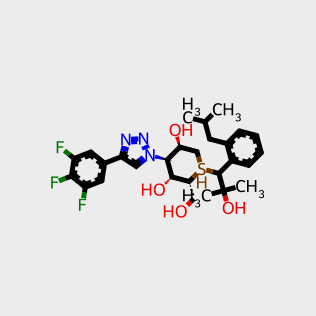 CC(C)Cc1ccccc1C([SH]1C[C@H](O)[C@H](n2cc(-c3cc(F)c(F)c(F)c3)nn2)[C@@H](O)[C@H]1CO)C(C)(C)O